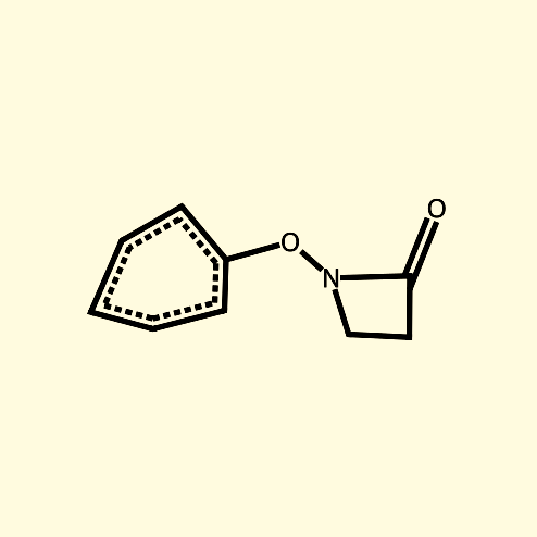 O=C1CCN1Oc1ccccc1